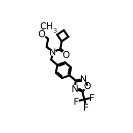 COCCN(Cc1ccc(-c2noc(C(F)(F)F)n2)cc1)C(=O)C1CCC1